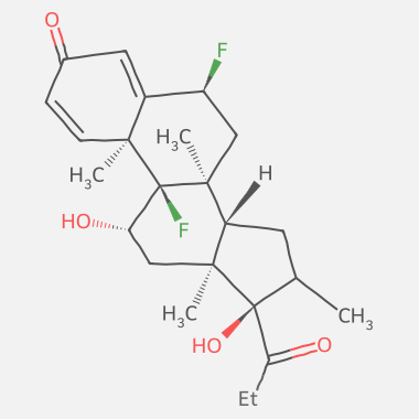 CCC(=O)[C@@]1(O)C(C)C[C@H]2[C@]3(C)C[C@H](F)C4=CC(=O)C=C[C@]4(C)[C@@]3(F)[C@@H](O)C[C@@]21C